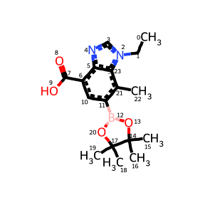 CCn1cnc2c(C(=O)O)cc(B3OC(C)(C)C(C)(C)O3)c(C)c21